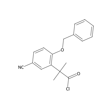 CC(C)(C(=O)Cl)c1cc(C#N)ccc1OCc1ccccc1